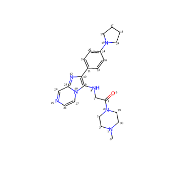 CN1CCN(C(=O)CNc2c(-c3ccc(N4CCCC4)cc3)nc3cnccn23)CC1